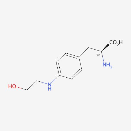 N[C@@H](Cc1ccc(NCCO)cc1)C(=O)O